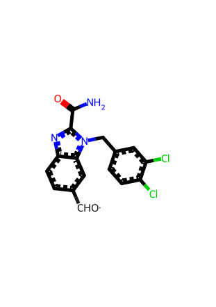 NC(=O)c1nc2ccc([C]=O)cc2n1Cc1ccc(Cl)c(Cl)c1